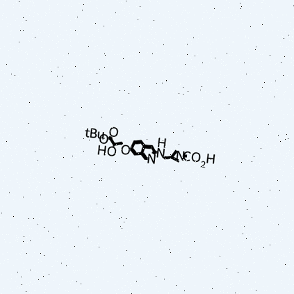 CC(C)(C)OC(=O)[C@H](O)COc1ccc2cc(NCC3CN(C(=O)O)C3)ncc2c1